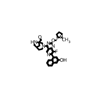 CN1CCC[C@H]1COc1nc(N2CCC3CNC(C=O)(C3)C2)c2cnc(-c3cc(O)cc4ccccc34)c(F)c2n1